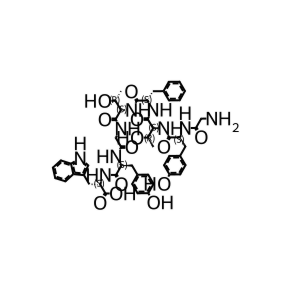 C[C@@H](O)[C@H](NC(=O)[C@H](Cc1ccccc1)NC(=O)[C@@H](NC(=O)[C@H](Cc1ccc(O)cc1)NC(=O)CN)[C@@H](C)O)C(=O)NCC(=O)N[C@@H](Cc1ccc(O)cc1)C(=O)N[C@@H](Cc1c[nH]c2ccccc12)C(=O)O